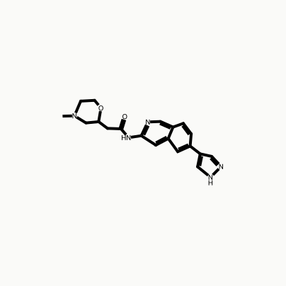 CN1CCOC(CC(=O)Nc2cc3cc(-c4cn[nH]c4)ccc3cn2)C1